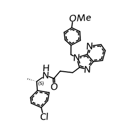 COc1ccc(Cn2c(CCC(=O)N[C@@H](C)c3ccc(Cl)cc3)nc3cccnc32)cc1